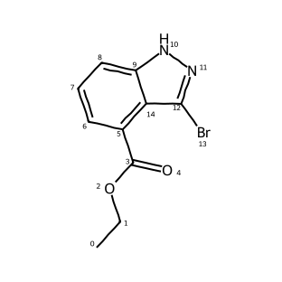 CCOC(=O)c1cccc2[nH]nc(Br)c12